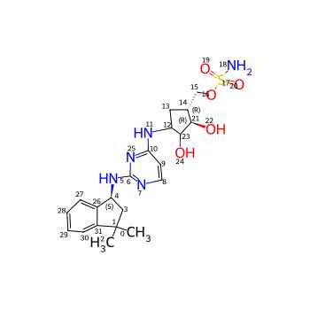 CC1(C)C[C@H](Nc2nccc(NC3C[C@H](COS(N)(=O)=O)[C@@H](O)C3O)n2)c2ccccc21